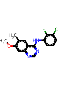 COc1cc2ncnc(Nc3cccc(Cl)c3F)c2cc1C